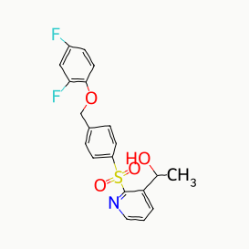 CC(O)c1cccnc1S(=O)(=O)c1ccc(COc2ccc(F)cc2F)cc1